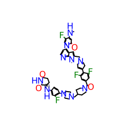 CNc1cc(=O)n(-c2ccnc3c2cc(CN2CC=C(c4c(F)cc(C(=O)N5CCC(CN6CCN(c7ccc(N[C@@H]8CCC(=O)NC8=O)cc7F)CC6)CC5)cc4F)CC2)n3C)cc1F